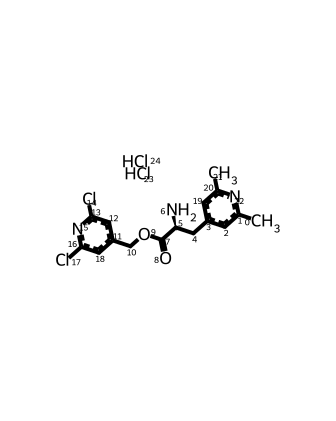 Cc1cc(C[C@H](N)C(=O)OCc2cc(Cl)nc(Cl)c2)cc(C)n1.Cl.Cl